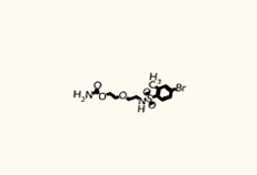 Cc1cc(Br)ccc1S(=O)(=O)NCCOCCOC(N)=O